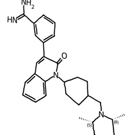 C[C@@H]1CCC[C@H](C)N1CC1CCC(n2c(=O)c(-c3cccc(C(=N)N)c3)cc3ccccc32)CC1